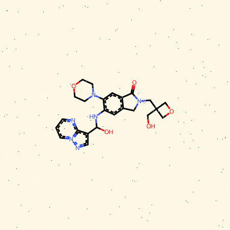 O=C1c2cc(N3CCOCC3)c(NC(O)c3cnn4cccnc34)cc2CN1CC1(CO)COC1